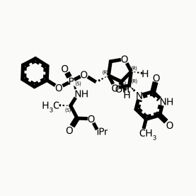 Cc1cn([C@@H]2O[C@@]3(CO[P@@](=O)(N[C@@H](C)C(=O)OC(C)C)Oc4ccccc4)CO[C@@H]2[C@@H]3O)c(=O)[nH]c1=O